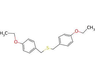 CCOc1ccc(CSCc2ccc(OCC)cc2)cc1